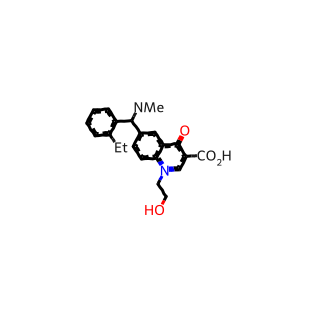 CCc1ccccc1C(NC)c1ccc2c(c1)c(=O)c(C(=O)O)cn2CCO